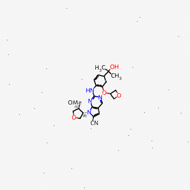 CO[C@@H]1COC[C@H]1n1c(C#N)cc2cnc(NC3=C(OC4COC4)CC(C(C)(C)O)C=C3)nc21